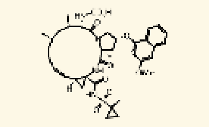 COc1cc2ccccc2c(O[C@@H]2C[C@H]3C(=O)N[C@]4(C(=O)NS(=O)(=O)C5(C)CC5)C[C@H]4/C=C\CC[C@@H](C)C[C@@H](C)[C@H](NC(=O)O)C(=O)N3C2)n1